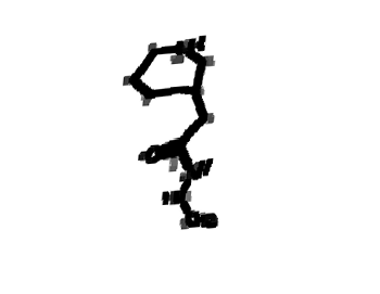 O=CNNC(=O)CC1CCCNC1